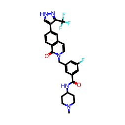 CN1CCC(NC(=O)c2cc(F)cc(Cn3ccc4cc(-c5c[nH]nc5C(F)(F)F)ccc4c3=O)c2)CC1